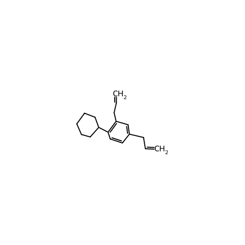 C=CCc1ccc(C2CCCCC2)c(CC=C)c1